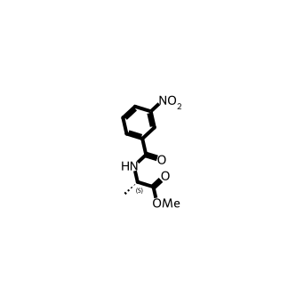 COC(=O)[C@H](C)NC(=O)c1cccc([N+](=O)[O-])c1